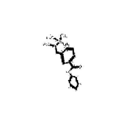 CN(Cc1cccc(C(=O)Oc2ccccc2)c1)[Si](C)(C)C